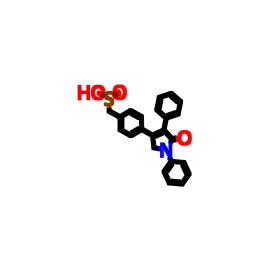 O=C1C(c2ccccc2)=C(c2ccc(CS(=O)O)cc2)CN1c1ccccc1